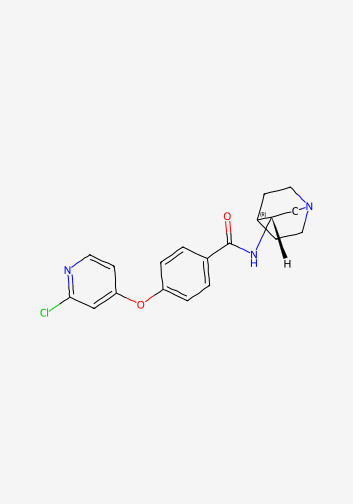 O=C(N[C@H]1CN2CCC1CC2)c1ccc(Oc2ccnc(Cl)c2)cc1